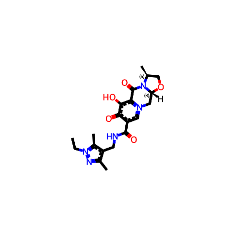 CCn1nc(C)c(CNC(=O)c2cn3c(c(O)c2=O)C(=O)N2[C@@H](C)CO[C@@H]2C3)c1C